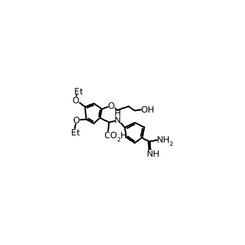 CCOc1cc(OCCCO)c(C(Nc2ccc(C(=N)N)cc2)C(=O)O)cc1OCC